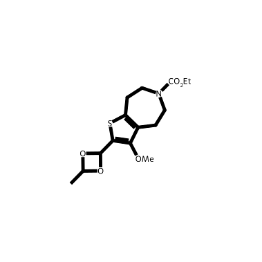 CCOC(=O)N1CCc2sc(C3OC(C)O3)c(OC)c2CC1